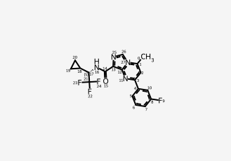 Cc1cc(-c2cccc(F)c2)nc2c(C(=O)N[C@@H](C3CC3)C(F)(F)F)ncn12